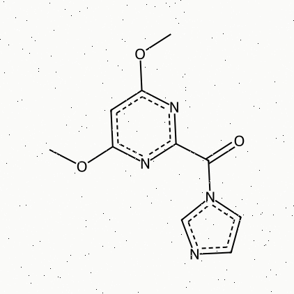 COc1cc(OC)nc(C(=O)n2ccnc2)n1